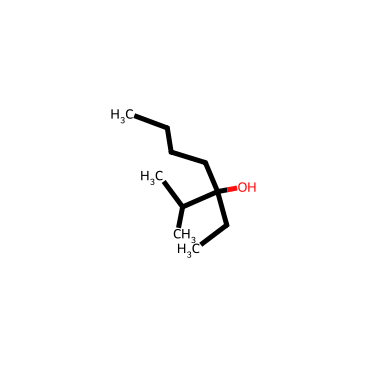 CCCCC(O)(CC)C(C)C